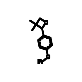 CC(C)Oc1ccc(C2OCC2(C)C)cc1